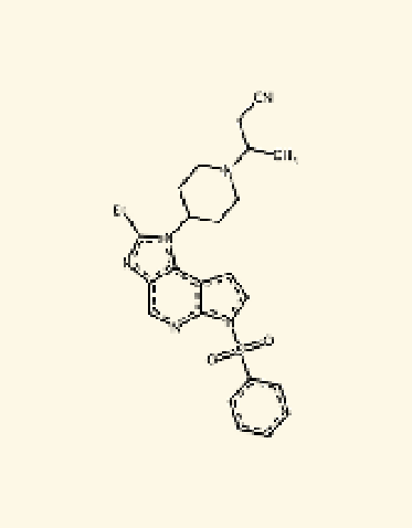 CCc1nc2cnc3c(ccn3S(=O)(=O)c3ccccc3)c2n1C1CCN(C(C)CC#N)CC1